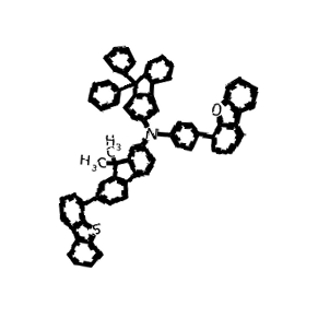 CC1(C)c2cc(-c3cccc4c3sc3ccccc34)ccc2-c2ccc(N(c3ccc(-c4cccc5c4oc4ccccc45)cc3)c3ccc4c(c3)-c3ccccc3C4(c3ccccc3)c3ccccc3)cc21